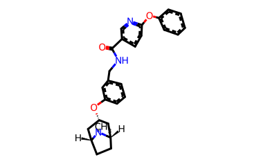 CN1[C@@H]2CC[C@H]1C[C@@H](Oc1cccc(CNC(=O)c3ccc(Oc4ccccc4)nc3)c1)C2